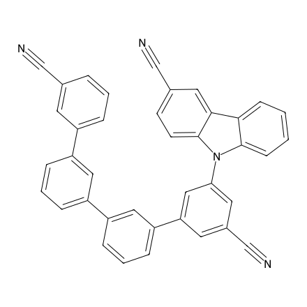 N#Cc1cccc(-c2cccc(-c3cccc(-c4cc(C#N)cc(-n5c6ccccc6c6cc(C#N)ccc65)c4)c3)c2)c1